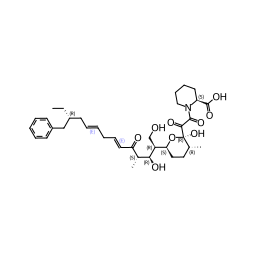 CC[C@H](C/C=C/C/C=C/C(=O)[C@@H](C)[C@H](O)[C@@H](CO)[C@@H]1CC[C@@H](C)[C@](O)(C(=O)C(=O)N2CCCC[C@H]2C(=O)O)O1)Cc1ccccc1